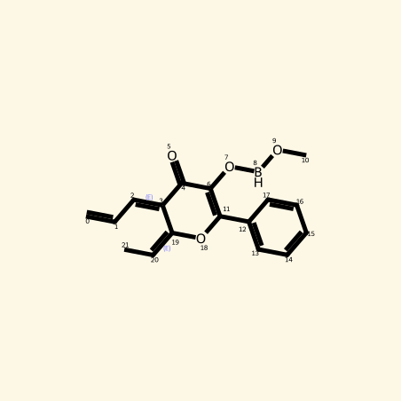 C=C/C=c1/c(=O)c(OBOC)c(-c2ccccc2)o/c1=C/C